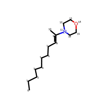 CCCCCCCCC=C(C)N1CCOCC1